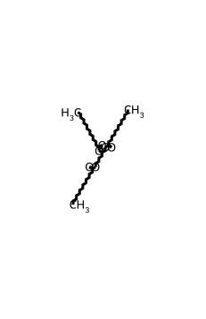 CCCCCCCCCCCCCC(=O)OCCCCC(COC(=O)CCCCCCCCCCCCC)OC(=O)CCCCCCCCCCCCC